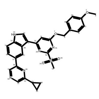 COc1ccc(COc2cc(-c3c[nH]c4ccc(-c5cncc(C6CC6)n5)cc34)nc(S(C)(=O)=O)n2)cc1